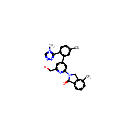 Cn1cnnc1-c1ccc(C#N)cc1-c1cc(CO)nc(N2Cc3c(cccc3C(F)(F)F)C2=O)c1